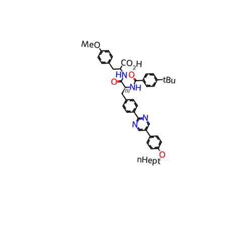 CCCCCCCOc1ccc(-c2cnc(-c3ccc(C[C@H](NC(=O)c4ccc(C(C)(C)C)cc4)C(=O)NC(Cc4ccc(OC)cc4)C(=O)O)cc3)nc2)cc1